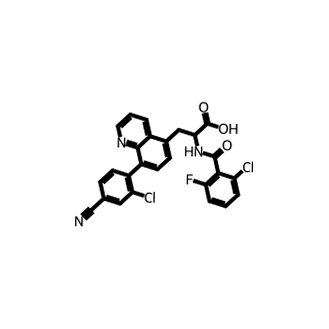 N#Cc1ccc(-c2ccc(CC(NC(=O)c3c(F)cccc3Cl)C(=O)O)c3cccnc23)c(Cl)c1